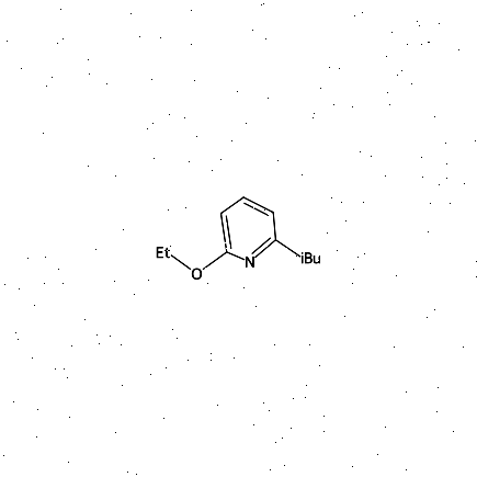 CCOc1cccc(C(C)CC)n1